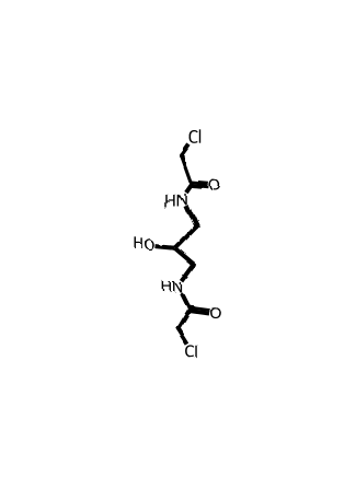 O=C(CCl)NCC(O)CNC(=O)CCl